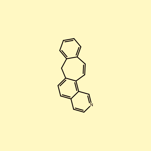 C1=Cc2c(ccc3ccncc23)Cc2ccccc21